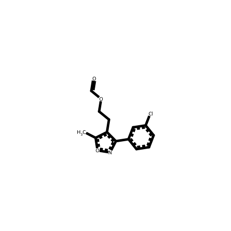 Cc1onc(-c2cccc(Cl)c2)c1CCOC=O